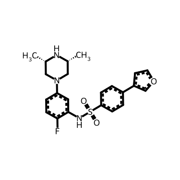 C[C@@H]1CN(c2ccc(F)c(NS(=O)(=O)c3ccc(-c4ccoc4)cc3)c2)C[C@H](C)N1